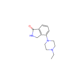 CCN1CCN(c2cccc3c2CNC3=O)CC1